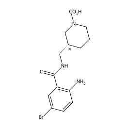 Nc1ccc(Br)cc1C(=O)NC[C@H]1CCCN(C(=O)O)C1